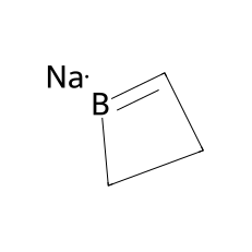 B1=CCC1.[Na]